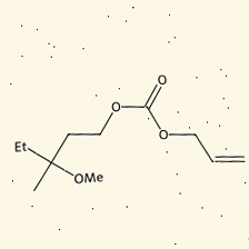 C=CCOC(=O)OCCC(C)(CC)OC